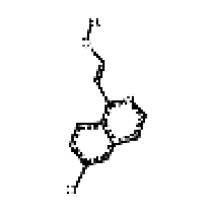 CCOC=Cc1nccc2cc(Cl)ccc12